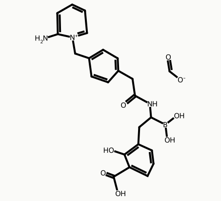 Nc1cccc[n+]1Cc1ccc(CC(=O)NC(Cc2cccc(C(=O)O)c2O)B(O)O)cc1.O=C[O-]